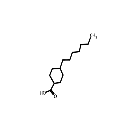 CCCCCCCC1CCC(C(=O)O)CC1